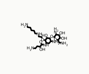 NCCCCCNCCOC1[C@@H](O)[C@H](O[C@H]2OC(CN)[C@@H](O)[C@H](O)C2N)C(N)C[C@H]1NC(=O)[C@@H](O)CCN